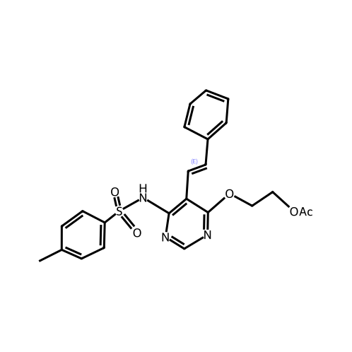 CC(=O)OCCOc1ncnc(NS(=O)(=O)c2ccc(C)cc2)c1/C=C/c1ccccc1